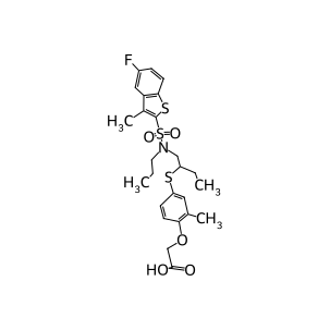 CCCN(CC(CC)Sc1ccc(OCC(=O)O)c(C)c1)S(=O)(=O)c1sc2ccc(F)cc2c1C